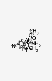 C=C(c1c(N)c(C(=O)OCC)nn1-c1ccc(C#N)cc1)C(F)(F)F